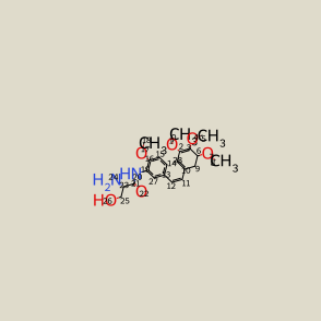 COC1=C(OC)C(OC)CC(/C=C\c2ccc(OC)c(NC(=O)[C@@H](N)CO)c2)=C1